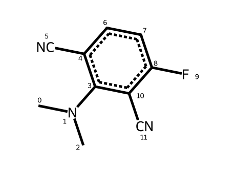 CN(C)c1c(C#N)ccc(F)c1C#N